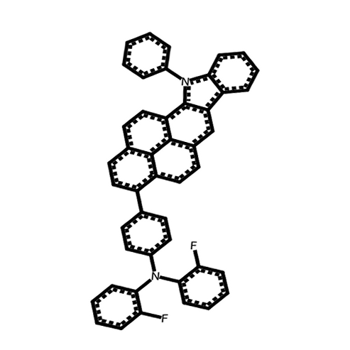 Fc1ccccc1N(c1ccc(-c2ccc3ccc4c5c(ccc2c35)cc2c3ccccc3n(-c3ccccc3)c24)cc1)c1ccccc1F